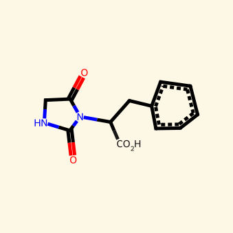 O=C(O)C(Cc1ccccc1)N1C(=O)CNC1=O